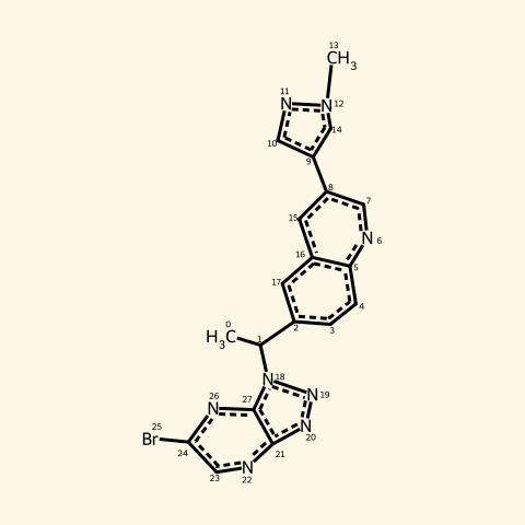 CC(c1ccc2ncc(-c3cnn(C)c3)cc2c1)n1nnc2ncc(Br)nc21